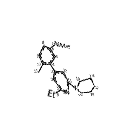 CCc1cc(-c2cc(NC)ccc2C)cc(N2CCCCC2)n1